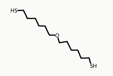 SCCCCCCOCCCCCCS